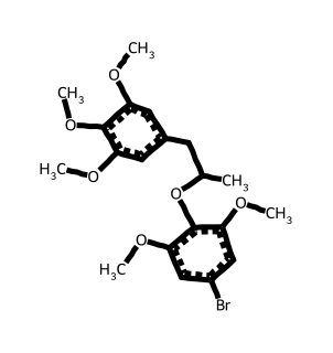 COc1cc(CC(C)Oc2c(OC)cc(Br)cc2OC)cc(OC)c1OC